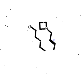 C/C=C/CN1CCC1.CCCCCCl